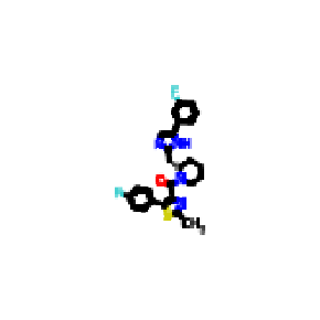 Cc1nc(C(=O)N2CCCC[C@H]2Cc2ncc(-c3cccc(F)c3)[nH]2)c(-c2ccc(F)cc2)s1